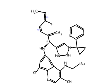 C=C(/C=C\C(F)=C/C)[C@H](Nc1cc(Cl)c2ncc(C#N)c(NCC(C)(C)C)c2c1)C1=CN(C2(c3ccccn3)CC2)NN1